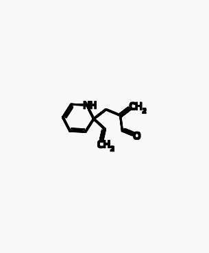 C=CC1(CC(=C)C=O)C=CC=CN1